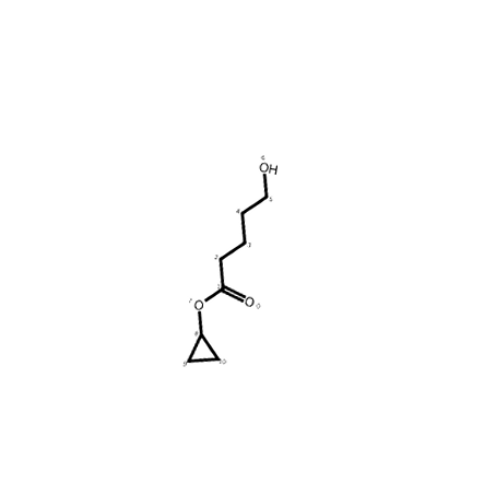 O=C(CCCCO)OC1CC1